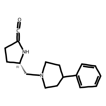 O=C=C1CC[C@@H](CN2CCC(c3ccccc3)CC2)N1